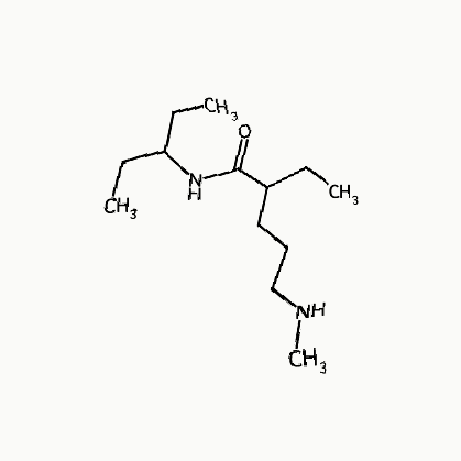 CCC(CC)NC(=O)C(CC)CCCNC